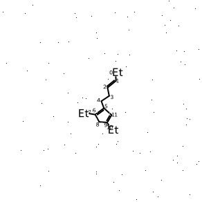 CCC=CCCC1=C(CC)CC(CC)=C1